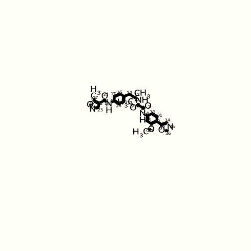 COc1cc(NC(=O)C(=O)NC(C)(C)Cc2ccc(NC(=O)c3cnoc3C)cc2)ccc1-c1cnco1